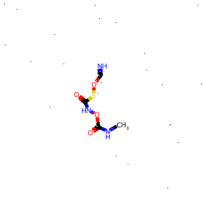 CNC(=O)ONC(=O)SOC=N